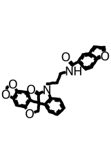 O=C(NCCCN1C(=O)C2(COc3cc4c(cc32)OCO4)c2ccccc21)c1ccc2occc2c1